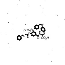 CCCCCCCOc1ccc(CN(C)c2ccc(C[C@H](NC(=O)c3ccc(NC(=O)COCc4ccccc4)cc3)C(=O)O)cc2)cc1